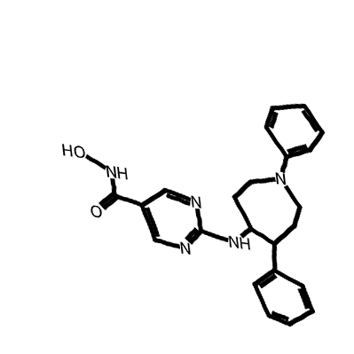 O=C(NO)c1cnc(NC2CCN(c3ccccc3)CCC2c2ccccc2)nc1